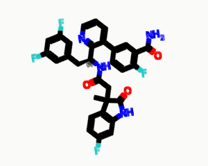 CC1(CC(=O)N[C@@H](Cc2cc(F)cc(F)c2)c2ncccc2-c2ccc(F)c(C(N)=O)c2)C(=O)Nc2cc(F)ccc21